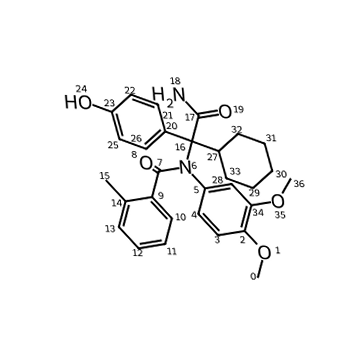 COc1ccc(N(C(=O)c2ccccc2C)C(C(N)=O)(c2ccc(O)cc2)C2CCCCC2)cc1OC